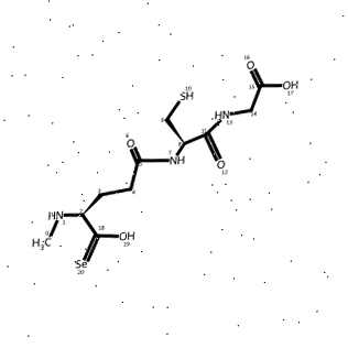 CN[C@@H](CCC(=O)N[C@@H](CS)C(=O)NCC(=O)O)C(O)=[Se]